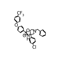 O=S(=O)(NC1(c2ccc(Cl)cc2)CCN(Cc2ccccc2)C1)c1ccc(Oc2ccc(C(F)(F)F)cc2)cc1